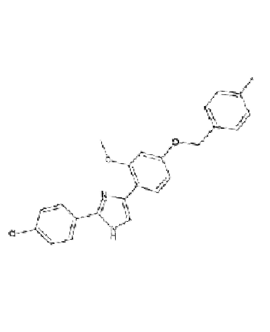 COc1cc(OCc2ccc(C)cc2)ccc1-c1c[nH]c(-c2ccc(Cl)cc2)n1